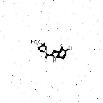 C[C@@]1(C(=O)O)CCN(C(=O)c2cc3c(Cl)c(Cl)ccc3[nH]2)C1